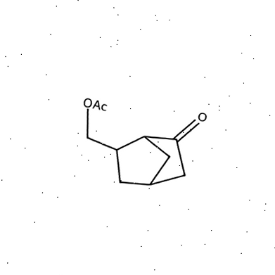 CC(=O)OCC1CC2CC(=O)C1C2